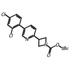 CC(C)(C)OC(=O)N1CC(c2ccc(-c3ccc(Cl)cc3Cl)cn2)C1